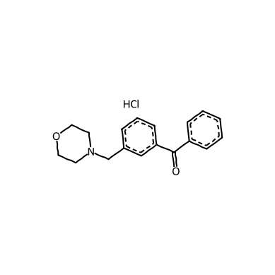 Cl.O=C(c1ccccc1)c1cccc(CN2CCOCC2)c1